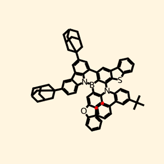 CC(C)(C)c1ccc(N2c3cc4c(cc3B3c5c(cc6c(sc7ccccc76)c52)-c2cc(C56CC7CC(CC(C7)C5)C6)cc5c6cc(C78CC9CC(CC(C9)C7)C8)ccc6n3c25)oc2ccccc24)c(-c2ccccc2)c1